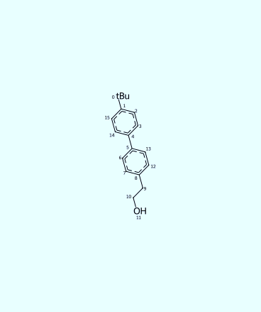 CC(C)(C)c1ccc(-c2ccc(CCO)cc2)cc1